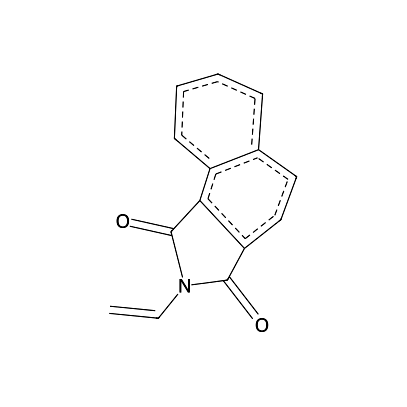 C=CN1C(=O)c2ccc3ccccc3c2C1=O